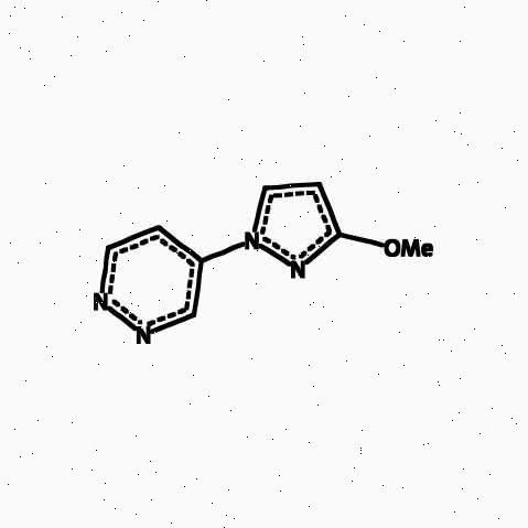 COc1ccn(-c2ccnnc2)n1